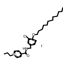 CCCCCCCCCCCCOc1ccc(CNC(=O)c2cc[n+](CCC)cc2)cc1Cl.[I-]